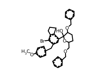 COc1ccc(Cc2cc(C3(O)OC(COCc4ccccc4)CCC3OCc3ccccc3)c3c(c2Br)CCC3)cc1